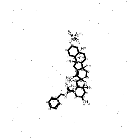 CC1=C2C[C@H]3C(CC[C@@H]4C[C@@H](OS(C)(=O)=O)CC[C@@]43C)[C@@H]2CC[C@]12O[C@@H]1CC(C)CN(C(=O)OCc3ccccc3)[C@H]1[C@H]2C